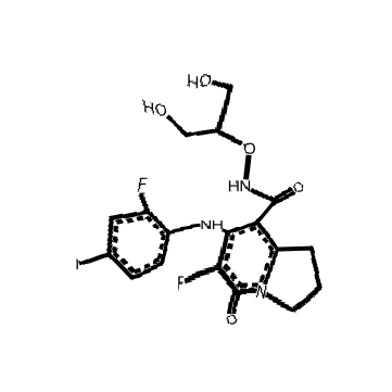 O=C(NOC(CO)CO)c1c(Nc2ccc(I)cc2F)c(F)c(=O)n2c1CCC2